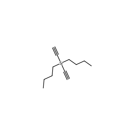 C#C[Si](C#C)(CCCC)CCCC